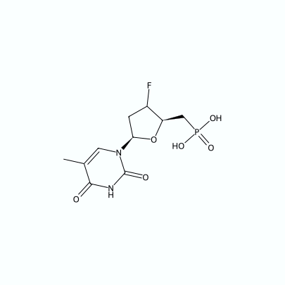 Cc1cn([C@H]2CC(F)[C@@H](CP(=O)(O)O)O2)c(=O)[nH]c1=O